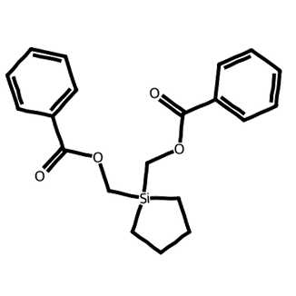 O=C(OC[Si]1(COC(=O)c2ccccc2)CCCC1)c1ccccc1